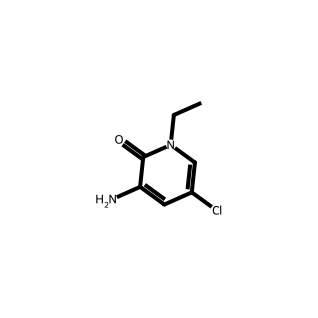 CCn1cc(Cl)cc(N)c1=O